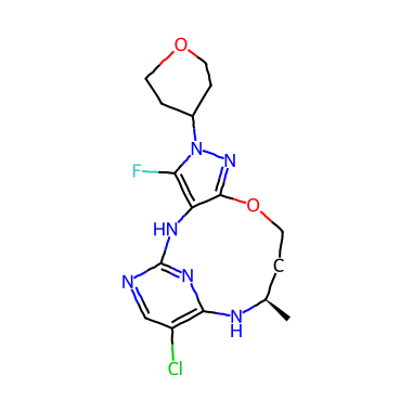 C[C@@H]1CCOc2nn(C3CCOCC3)c(F)c2Nc2ncc(Cl)c(n2)N1